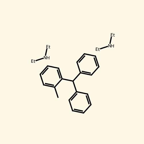 CCNCC.CCNCC.Cc1ccccc1C(c1ccccc1)c1ccccc1